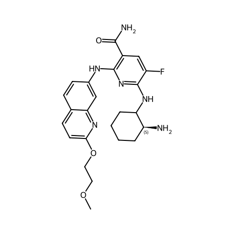 COCCOc1ccc2ccc(Nc3nc(NC4CCCC[C@@H]4N)c(F)cc3C(N)=O)cc2n1